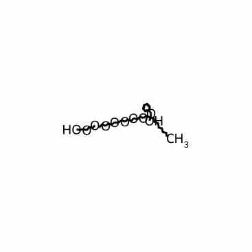 CCCCCCCCCC(O)(COCCOCCOCCOCCOCCOCCOCCO)Oc1ccccc1